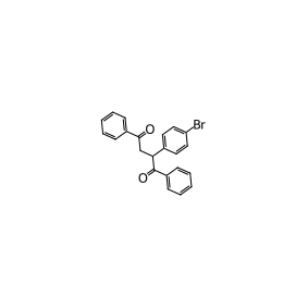 O=C(CC(C(=O)c1ccccc1)c1ccc(Br)cc1)c1ccccc1